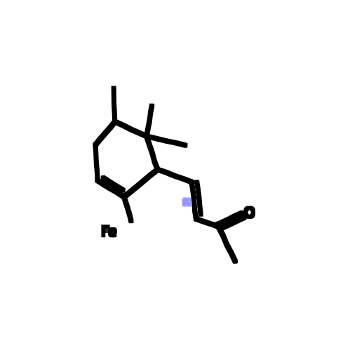 CC(=O)/C=C/C1C(C)=CCC(C)C1(C)C.[Fe]